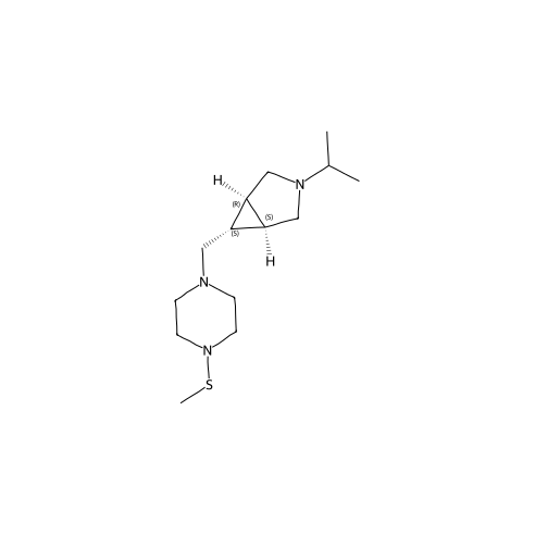 CSN1CCN(C[C@@H]2[C@H]3CN(C(C)C)C[C@@H]23)CC1